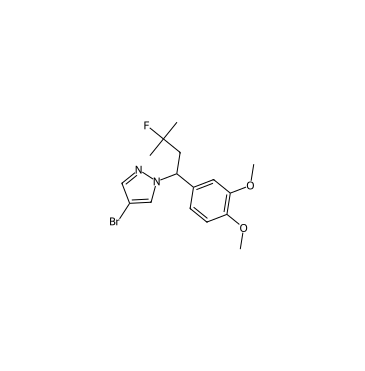 COc1ccc(C(CC(C)(C)F)n2cc(Br)cn2)cc1OC